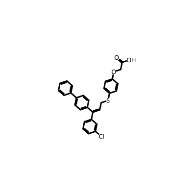 O=C(O)COc1ccc(SC/C=C(\c2ccc(-c3ccccc3)cc2)c2cccc(Cl)c2)cc1